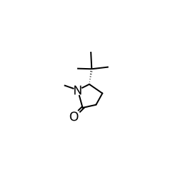 CN1C(=O)CC[C@H]1C(C)(C)C